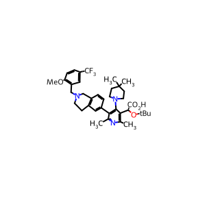 COc1ccc(C(F)(F)F)cc1CN1CCc2cc(-c3c(C)nc(C)c([C@H](OC(C)(C)C)C(=O)O)c3N3CCC(C)(C)CC3)ccc2C1